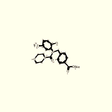 COC(=O)c1ccc(CN(C(=O)N2CCOCC2)c2cc(C(F)(F)F)ccc2Cl)cc1